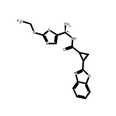 C[C@@H](NC(=O)C1CC1c1nc2ccccc2o1)c1cnc(OCC(F)(F)F)s1